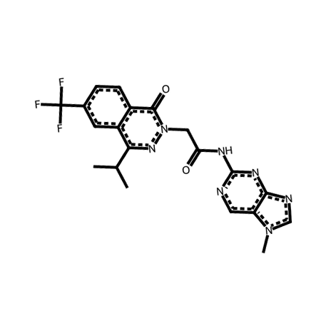 CC(C)c1nn(CC(=O)Nc2ncc3c(ncn3C)n2)c(=O)c2ccc(C(F)(F)F)cc12